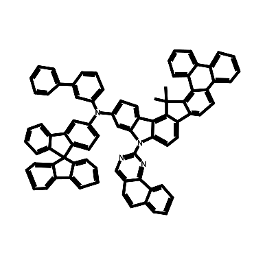 CC1(C)c2c(ccc3c4ccccc4c4ccccc4c23)-c2ccc3c(c21)c1ccc(N(c2cccc(-c4ccccc4)c2)c2ccc4c(c2)-c2ccccc2C42c4ccccc4-c4ccccc42)cc1n3-c1ncc2ccc3ccccc3c2n1